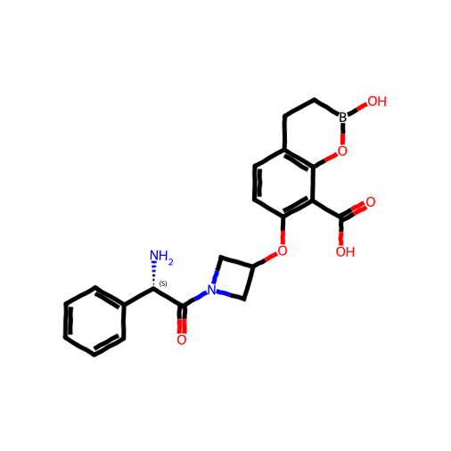 N[C@H](C(=O)N1CC(Oc2ccc3c(c2C(=O)O)OB(O)CC3)C1)c1ccccc1